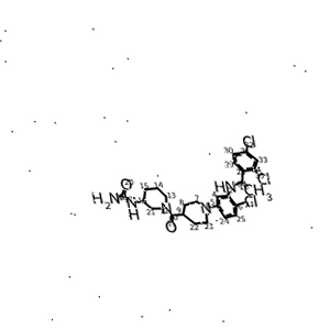 C[C@@H](Nc1cc(N2CCC(C(=O)N3CCCC(NC(N)=O)C3)CC2)ccc1Cl)c1ccc(Cl)cc1Cl